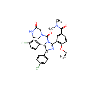 CCOc1ccc(C(=O)N(C)C)cc1C1=N[C@@H](c2ccc(Cl)cc2)[C@@H](c2ccc(Cl)cc2)N1C(=O)N1CCNC(=O)C1